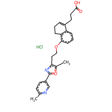 Cc1ccc(-c2nc(CCOc3cccc4c3CCC=C4CCC(=O)O)c(C)o2)cn1.Cl